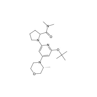 C[C@@H]1COCCN1c1cc(OC(C)(C)C)nc(N2CCCC2C(=O)N(C)C)c1